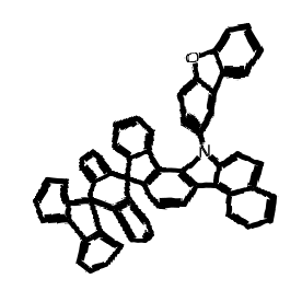 c1ccc2c(c1)-c1ccccc1C21c2ccccc2C2(c3ccccc3-c3c2ccc2c4c5ccccc5ccc4n(-c4ccc5oc6ccccc6c5c4)c32)c2ccccc21